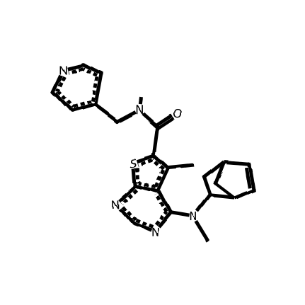 Cc1c(C(=O)N(C)Cc2ccncc2)sc2ncnc(N(C)C3CC4C=CC3C4)c12